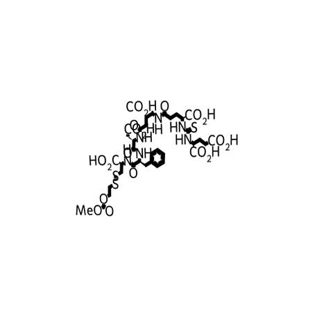 COC(=O)OCCSSC[C@H](NC(=O)[C@H](Cc1ccccc1)NC(=O)[C@H](CC(=O)O)NC(=O)CC[C@H](NC(=O)CC[C@@H](NC(=S)N[C@H](CCC(=O)O)C(=O)O)C(=O)O)C(=O)O)C(=O)O